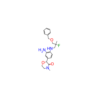 CN1CCOC(c2ccc(NCC(C)(F)COCc3ccccc3)c(N)c2)C1=O